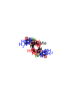 COP1(=O)OC[C@H]2O[C@@H](n3c(Br)nc4c(=O)[nH]c(N)nc43)[C@@H](O)C2OP(=O)(O)OC[C@H]2O[C@@H](n3c(Br)nc4c(=O)[nH]c(N)nc43)C(O)[C@H]2O1